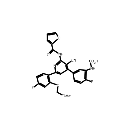 COCOc1cc(F)ccc1-c1cc(-c2ccc(F)c(NC(=O)O)c2)c(C#N)c(NC(=O)c2ccco2)n1